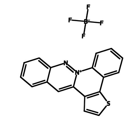 F[B-](F)(F)F.c1ccc2n[n+]3c4ccccc4c4sccc4c3cc2c1